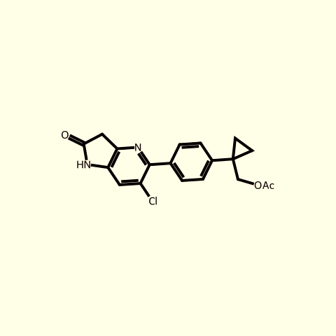 CC(=O)OCC1(c2ccc(-c3nc4c(cc3Cl)NC(=O)C4)cc2)CC1